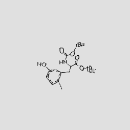 Cc1ccc(O)cc1CC(NC(=O)OC(C)(C)C)C(=O)OC(C)(C)C